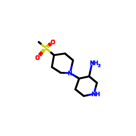 CS(=O)(=O)C1CCN(C2CCNCC2N)CC1